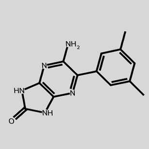 Cc1cc(C)cc(-c2nc3[nH]c(=O)[nH]c3nc2N)c1